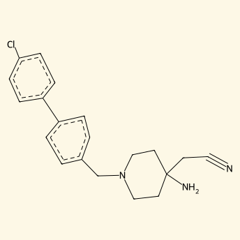 N#CCC1(N)CCN(Cc2ccc(-c3ccc(Cl)cc3)cc2)CC1